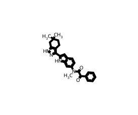 CN(C(=O)C(=O)c1ccccc1)c1ccc2cc(-c3n[nH]c4c3CCC(C)(C)C4)[nH]c2c1